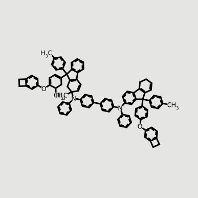 Cc1ccc(C2(C3=CC=C(Oc4ccc5c(c4)CC5)C(C)C3)C3=C(C=CC(C)(N(c4ccccc4)c4ccc(-c5ccc(N(c6ccccc6)c6ccc7c(c6)C(c6ccc(C)cc6)(c6ccc(Oc8ccc9c(c8)CC9)cc6)C6=C7CCC=C6)cc5)cc4)C3)c3ccccc32)cc1